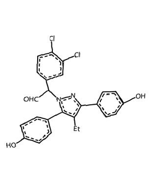 CCc1c(-c2ccc(O)cc2)nn(C(C=O)c2ccc(Cl)c(Cl)c2)c1-c1ccc(O)cc1